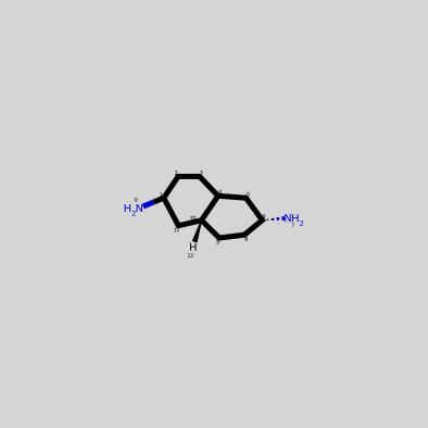 NC1CCC2C[C@H](N)CC[C@@H]2C1